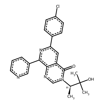 C[C@@H](n1cnc2c(-c3cccnc3)nc(-c3ccc(Cl)cc3)cc2c1=O)C(C)(C)O